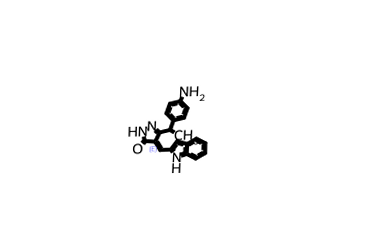 CC(C1=NNC(=O)/C1=C/c1cc2ccccc2[nH]1)c1ccc(N)cc1